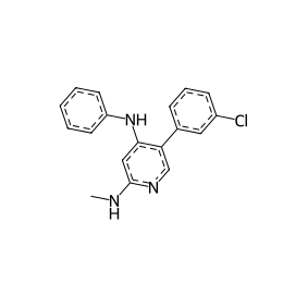 CNc1cc(Nc2ccccc2)c(-c2cccc(Cl)c2)cn1